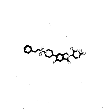 O=C1CCC(N2Cc3cc(C4CCN(S(=O)(=O)CCc5ccccc5)CC4)c(F)cc3C2=O)C(=O)N1